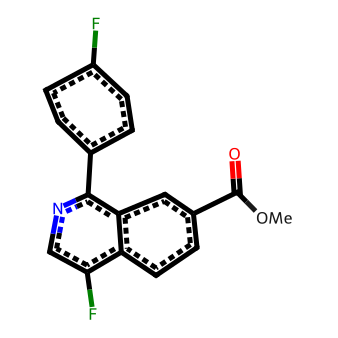 COC(=O)c1ccc2c(F)cnc(-c3ccc(F)cc3)c2c1